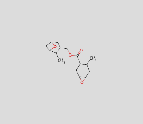 CC1CC2OC2CC1C(=O)OCC1CC2CC(O2)C1C